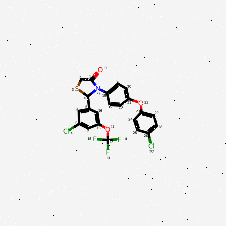 O=C1CSC(c2cc(Cl)cc(OC(F)(F)F)c2)N1c1ccc(Oc2ccc(Cl)cc2)cc1